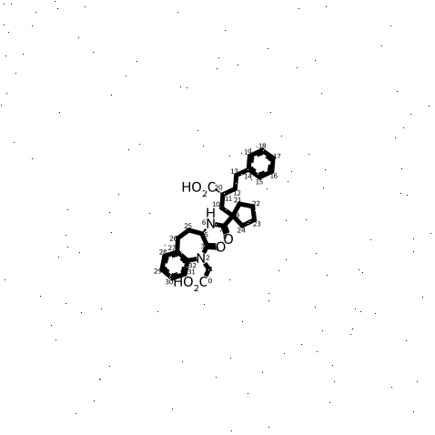 O=C(O)CN1C(=O)[C@@H](NC(=O)C2(C[C@@H](CCc3ccccc3)C(=O)O)CCCC2)CCc2ccccc21